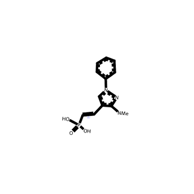 CNc1nn(-c2ccccc2)cc1/C=C/P(=O)(O)O